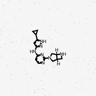 c1cc(Nc2cc(C3CC3)[nH]n2)nc(N2C[C@H]3CN[C@H]3C2)n1